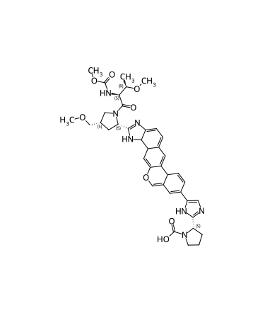 COC[C@H]1C[C@@H](C2=NC3=CC=C4C=C5C(=CC4C3N2)OC=C2C=C(c3cnc([C@@H]4CCCN4C(=O)O)[nH]3)C=CC25)N(C(=O)[C@@H](NC(=O)OC)[C@@H](C)OC)C1